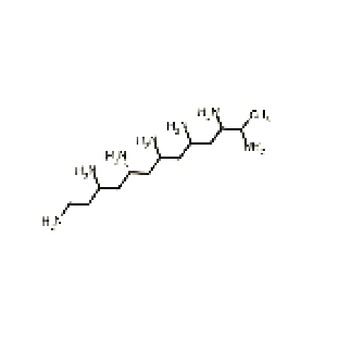 CC(N)C(N)CC(N)CC(N)C[C@@H](N)CC(N)CCN